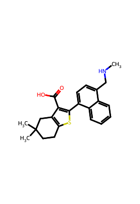 CNCc1ccc(-c2sc3c(c2C(=O)O)CC(C)(C)CC3)c2ccccc12